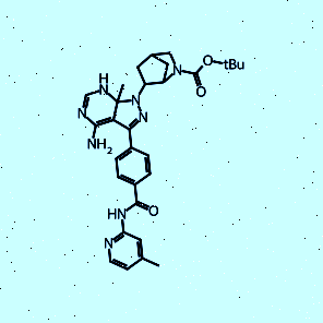 Cc1ccnc(NC(=O)c2ccc(C3=NN(C4CC5CC4N(C(=O)OC(C)(C)C)C5)C4(C)NC=NC(N)=C34)cc2)c1